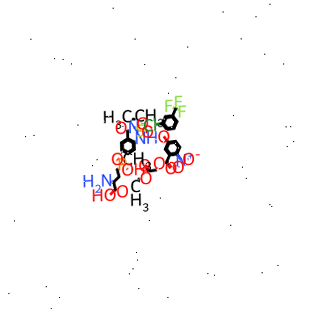 CC(C)N1C(=O)c2ccccc2NS1(=O)=O.CCOC(=O)COC(=O)c1cc(Oc2ccc(C(F)(F)F)cc2Cl)ccc1[N+](=O)[O-].CP(=O)(O)CCC(N)C(=O)O